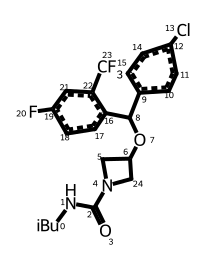 CCC(C)NC(=O)N1CC(OC(c2ccc(Cl)cc2)c2ccc(F)cc2C(F)(F)F)C1